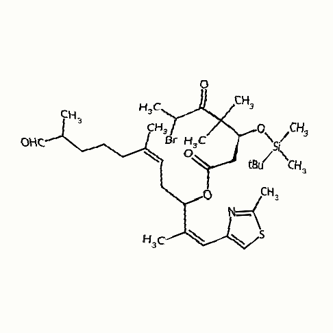 CC(=CCC(OC(=O)C[C@H](O[Si](C)(C)C(C)(C)C)C(C)(C)C(=O)C(C)Br)C(C)=Cc1csc(C)n1)CCCC(C)C=O